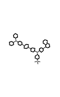 C[Si](C)(C)c1ccc(N(c2ccc(-c3ccc(-c4ccc(N(c5ccccc5)c5ccccc5)cc4)cc3)cc2)c2ccc(-c3cccc4ccccc34)cc2)cc1